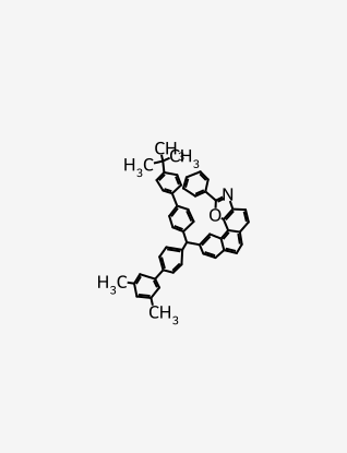 Cc1cc(C)cc(-c2ccc(C(c3ccc(-c4ccc(C(C)(C)C)cc4)cc3)c3ccc4ccc5ccc6nc(-c7ccccc7)oc6c5c4c3)cc2)c1